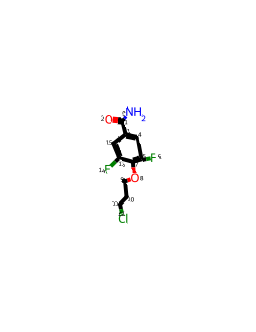 NC(=O)c1cc(F)c(OCCCCl)c(F)c1